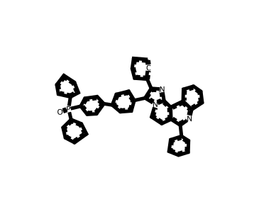 O=P(c1ccccc1)(c1ccccc1)c1ccc(-c2ccc(-c3c(-c4ccccc4)nc4c5c(ccn34)c(-c3ccccc3)nc3ccccc35)cc2)cc1